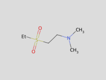 CCS(=O)(=O)CCN(C)C